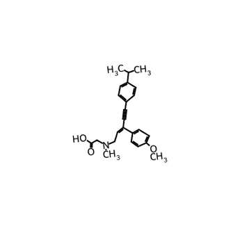 COc1ccc(/C(C#Cc2ccc(C(C)C)cc2)=C\CN(C)CC(=O)O)cc1